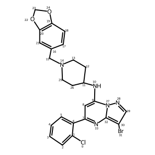 Clc1ccccc1-c1cc(NC2CCN(Cc3ccc4c(c3)OCO4)CC2)n2ncc(Br)c2n1